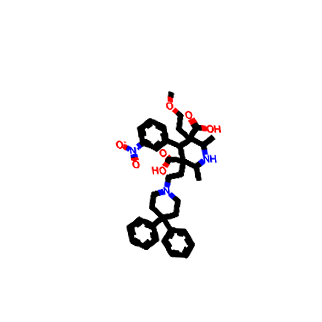 COCCC1(C(=O)O)C(C)NC(C)C(CCN2CCC(c3ccccc3)(c3ccccc3)CC2)(C(=O)O)C1c1cccc([N+](=O)[O-])c1